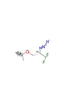 C[SiH](OC[C@H](N=[N+]=[N-])C(F)F)C(C)(C)C